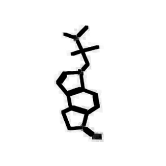 CN(C)C(C)(C)Cn1ccc2c3c(ccc21)S(=N)CC3